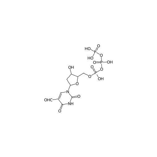 O=Cc1cn(C2CC(O)C(COP(=O)(O)OP(=O)(O)OP(=O)(O)O)O2)c(=O)[nH]c1=O